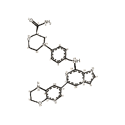 NC(=O)[C@H]1CN(c2ccc(Nc3nc(-c4cnc5c(c4)NCCO5)cn4ccnc34)cc2)CCO1